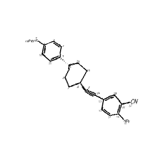 CCCCCc1ccc([C@H]2CC[C@H](C#Cc3ccc(CCC)c(C#N)c3)CC2)cc1